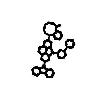 C=C1/C=C\C=C/CN(c2cc3ccc4cc(-n5c6ccccc6c6ccccc65)cc5c4c3c(c2)n5-c2cccc(-c3ccccc3)c2)c2ccccc21